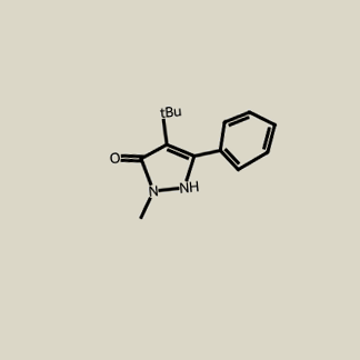 Cn1[nH]c(-c2ccccc2)c(C(C)(C)C)c1=O